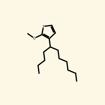 CCCCCCC(CCCC)c1ccsc1OC